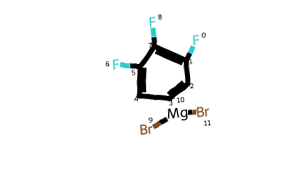 Fc1c[c]cc(F)c1F.[Br][Mg][Br]